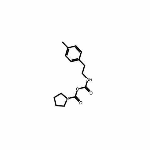 Cc1ccc(CCNC(=O)OC(=O)N2CCCC2)cc1